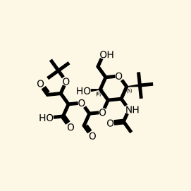 CC(=O)NC1C(OC(C=O)OC(C(=O)O)C(C=O)OC(C)(C)C)[C@@H](O)C(CO)O[C@H]1C(C)(C)C